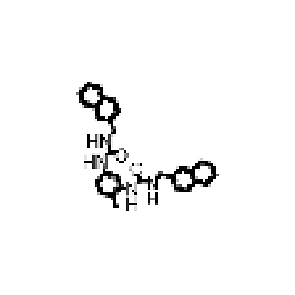 Cc1ccc(NC(=O)NCc2ccc3ccccc3c2)cc1NC(=O)NCc1ccc2ccccc2c1